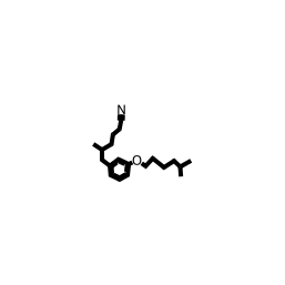 CC(C)CCCCOc1cccc(CC(C)CCCC#N)c1